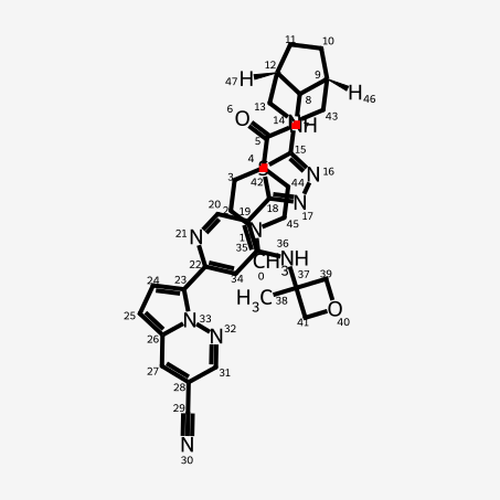 CN1CCC(C(=O)NC2[C@@H]3CC[C@H]2CN(c2nnc(-c4cnc(-c5ccc6cc(C#N)cnn56)cc4NC4(C)COC4)s2)C3)CC1